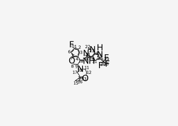 Fc1ccc2c(c1)OCC(N1CCOC3(CC3)C1)C2Nc1ncnc2[nH]c(C(F)(F)F)cc12